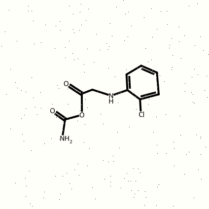 NC(=O)OC(=O)CNc1ccccc1Cl